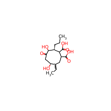 C/C=C1/CC(C(=O)O)C(C(=O)O)[C@H](CCC)[C@H](O)C(=O)C[C@@H]1O